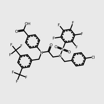 O=C(O)c1ccc(N(Cc2cc(C(F)(F)F)cc(C(F)(F)F)c2)C(=O)CN(Cc2ccc(Cl)cc2)S(=O)(=O)c2c(F)c(F)c(F)c(F)c2F)cc1